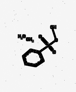 O.O.O=S(=O)(OO)c1ccccc1